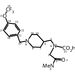 CNC(=O)CN(CC1CCN(Cc2ccc(OC(F)(F)F)cc2)CC1)C(=O)O